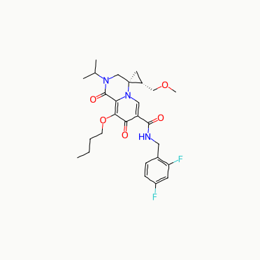 CCCCOc1c2n(cc(C(=O)NCc3ccc(F)cc3F)c1=O)[C@@]1(C[C@@H]1COC)CN(C(C)C)C2=O